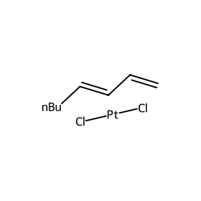 C=CC=CCCCC.[Cl][Pt][Cl]